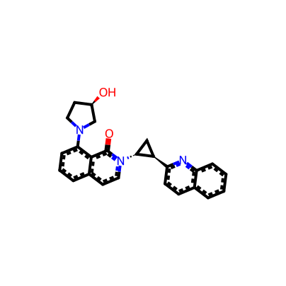 O=c1c2c(N3CC[C@@H](O)C3)cccc2ccn1[C@@H]1C[C@H]1c1ccc2ccccc2n1